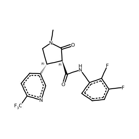 CN1C[C@@H](c2ccc(C(F)(F)F)nc2)[C@H](C(=O)Nc2cccc(F)c2F)C1=O